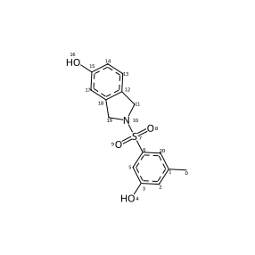 Cc1cc(O)cc(S(=O)(=O)N2Cc3ccc(O)cc3C2)c1